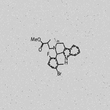 COC(=O)C(C)CN1C(c2c(F)ccc(Br)c2C)c2[nH]c3ccccc3c2C[C@H]1C